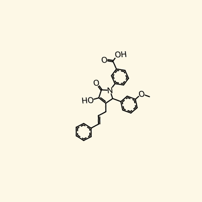 COc1cccc(C2C(C/C=C/c3ccccc3)=C(O)C(=O)N2c2cccc(C(=O)O)c2)c1